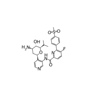 CC(C)[C@H]1O[C@@H](c2ccncc2NC(=O)c2ccc(F)c(-c3ccc(S(C)(=O)=O)cc3)n2)C[C@@H](N)[C@@H]1O